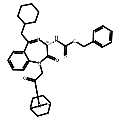 O=C(N[C@H]1N=C(CC2CCCCC2)c2ccccc2N(CC(=O)N2CC3CCC(CC3)C2)C1=O)OCc1ccccc1